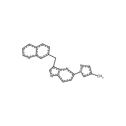 Cc1cnn(-c2ccc3ncc(Cc4ccc5cccnc5c4)n3n2)c1